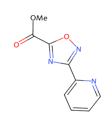 COC(=O)c1nc(-c2ccccn2)no1